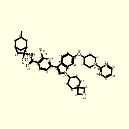 CC1CC2CC(C1)C(NC(=O)c1ccc(-c3cn(C4CCC5(CC4)COC5)c4cc(OC5CCN(c6ncccn6)CC5)ccc34)nc1C(F)(F)F)(C(=O)O)C2